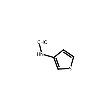 O=CNc1[c]scc1